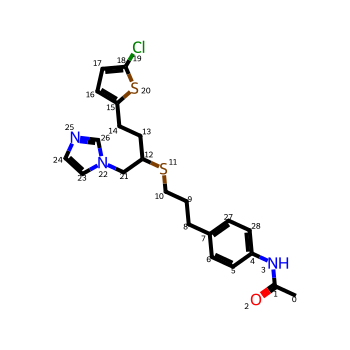 CC(=O)Nc1ccc(CCCSC(CCc2ccc(Cl)s2)Cn2ccnc2)cc1